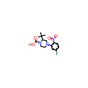 CC(C)(C)C1CN(c2cc(F)ccc2[N+](=O)[O-])CCN1C(=O)O